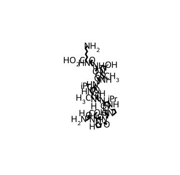 CC(C)[C@H](NC(=O)[C@H](C)NC(=O)CNC(=O)[C@@H](NC(=O)[C@@H]1CCCN1C(=O)CNC(=O)[C@@H]1CCCN1C(=O)[C@@H](NC(=O)CN)[C@@H](C)O)C(C)C)C(=O)NCC(=O)N[C@@H](C)C(=O)N1C[C@H](O)C[C@H]1C(=O)NCC(=O)N[C@@H](CCCCN)C(=O)O